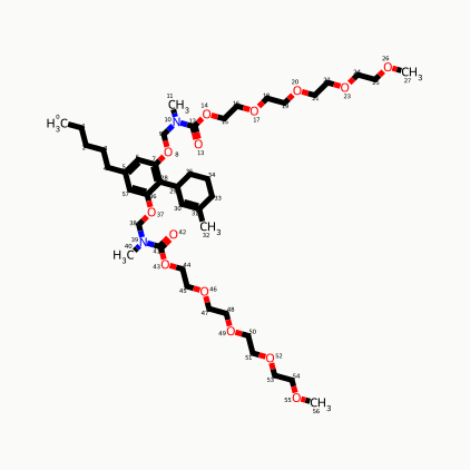 CCCCCc1cc(OCN(C)C(=O)OCCOCCOCCOCCOC)c(C2C=C(C)CCC2)c(OCN(C)C(=O)OCCOCCOCCOCCOC)c1